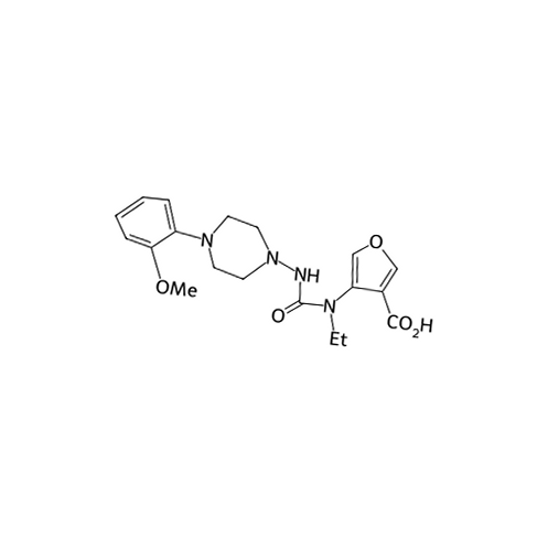 CCN(C(=O)NN1CCN(c2ccccc2OC)CC1)c1cocc1C(=O)O